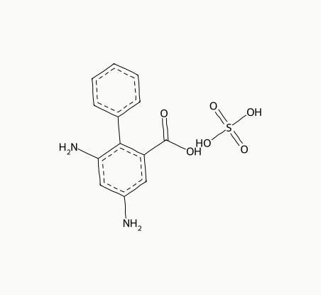 Nc1cc(N)c(-c2ccccc2)c(C(=O)O)c1.O=S(=O)(O)O